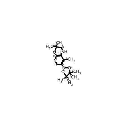 Cc1c(B2OC(C)(C)C(C)(C)O2)cnc2c1NCC(C)(C)O2